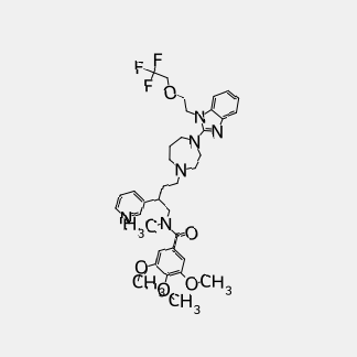 COc1cc(C(=O)N(C)CC(CCN2CCCN(c3nc4ccccc4n3CCOCC(F)(F)F)CC2)c2cccnc2)cc(OC)c1OC